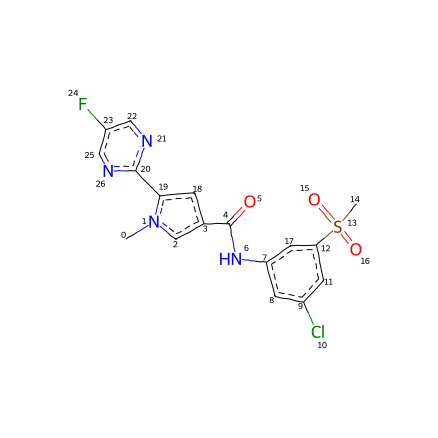 Cn1cc(C(=O)Nc2cc(Cl)cc(S(C)(=O)=O)c2)cc1-c1ncc(F)cn1